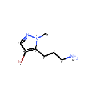 Cn1ncc(Br)c1CCCN